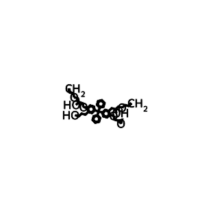 C=CCOCC(O)COc1ccc(C(c2ccccc2)(c2ccccc2)c2ccc(OCC3CO3)c(CC(O)COCC=C)c2)cc1CCCO